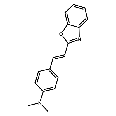 CN(C)c1ccc(C=Cc2nc3ccccc3o2)cc1